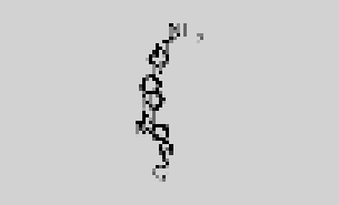 COCCOc1ccc2c(c1)ncn2-c1ccc2cc(N3CCN(CCN)CC3)ccc2n1